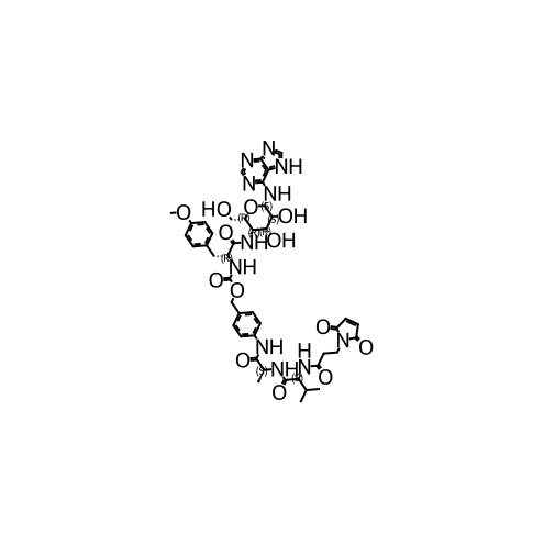 COc1ccc(C[C@@H](NC(=O)OCc2ccc(NC(=O)[C@H](C)NC(=O)[C@@H](NC(=O)CCN3C(=O)C=CC3=O)C(C)C)cc2)C(=O)N[C@@H]2[C@@H](O)[C@H](O)[C@@H](Nc3ncnc4nc[nH]c34)O[C@H]2CO)cc1